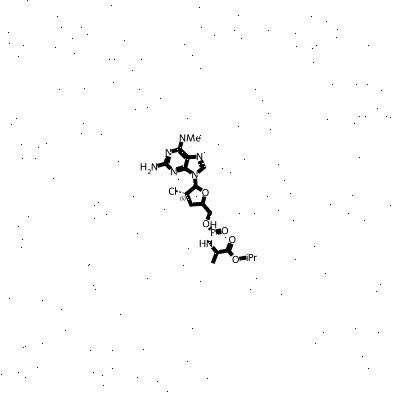 CNc1nc(N)nc2c1ncn2C1OC(CO[PH](=O)NC(C)C(=O)OC(C)C)C[C@@H]1Cl